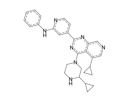 c1ccc(Nc2cc(-c3nc(N4CCNC(C5CC5)C4)c4c(C5CC5)cncc4n3)ccn2)cc1